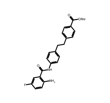 COC(=O)c1ccc(CCc2ccc(NC(=O)c3cc(F)ccc3N)cc2)cc1